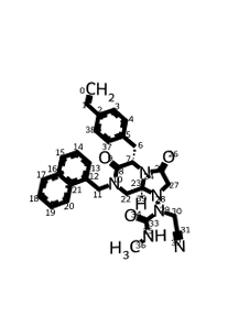 C=Cc1ccc(C[C@H]2C(=O)N(Cc3cccc4ccccc34)C[C@H]3N2C(=O)CN3N(CC#N)C(=O)NC)cc1